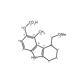 COCC1CCCc2[nH]c3cnc(OC(=O)O)c(C)c3c21